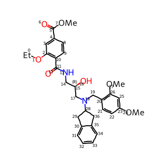 CCOc1cc(C(=O)OC)ccc1C(=O)NC[C@@H](O)CN(Cc1ccc(OC)cc1OC)C1Cc2ccccc2C1